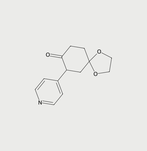 O=C1CCC2(CC1c1ccncc1)OCCO2